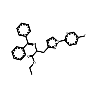 CCOC(=O)C(Cc1ccn(-c2ccc(F)cn2)n1)N=C(c1ccccc1)c1ccccc1